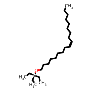 CCCCCCCC/C=C\CCCCCCCCO[Si](CC)(CC)CC